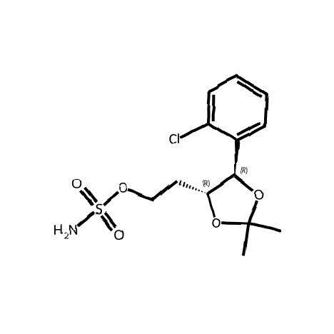 CC1(C)O[C@H](c2ccccc2Cl)[C@@H](CCOS(N)(=O)=O)O1